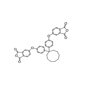 O=C1OC(=O)c2cc(Oc3ccc(C4(c5ccc(Oc6ccc7c(c6)C(=O)OC7=O)cc5)CCCCCCCC4)cc3)ccc21